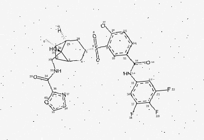 C[C@H]1CC2C[C@@H](S(=O)(=O)c3cc(C(=O)Nc4cc(F)c(F)c(F)c4)ccc3Cl)C[C@H]1[C@@]2(O)CNC(=O)c1ncco1